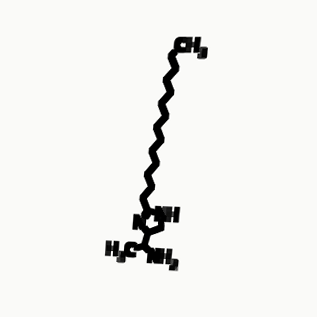 CCCCCCCCCCCCCCC1=NC(C(C)N)CN1